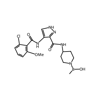 COc1cccc(Cl)c1C(=O)Nc1c[nH]nc1C(=O)NC1CCN(B(C)O)CC1